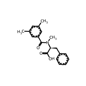 Cc1cc(C)cc(C(=O)N(C)[C@@H](Cc2ccccc2)C(=O)O)c1